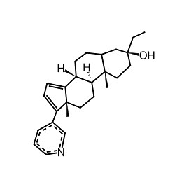 CC[C@]1(O)CC[C@@]2(C)C(CC[C@H]3C4=CC=C(c5cccnc5)[C@@]4(C)CC[C@@H]32)C1